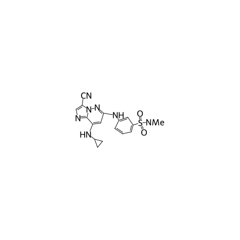 CNS(=O)(=O)c1cccc(Nc2cc(NC3CC3)c3ncc(C#N)n3n2)c1